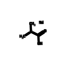 CN(C)C(=O)O.[Nd]